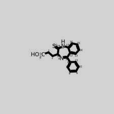 O=C(O)CCC1N=C(c2ccccc2)c2ccccc2NC1=S